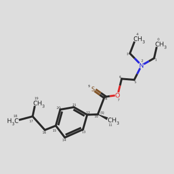 CCN(CC)CCOC(=S)[C@@H](C)c1ccc(CC(C)C)cc1